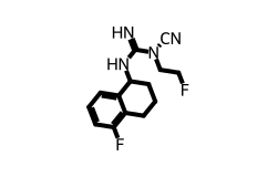 N#CN(CCF)C(=N)NC1CCCc2c(F)cccc21